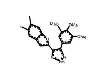 COc1cc(-c2n[nH]nc2-c2cc3cc(F)c(C)cc3o2)cc(OC)c1OC